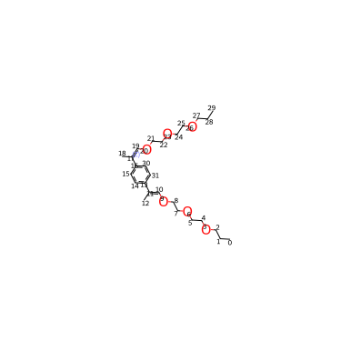 CCCOCCOCCOC=C(C)c1ccc(/C(C)=C\OCCOCCOCCC)cc1